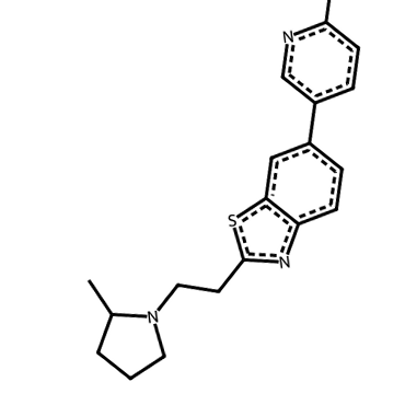 CC1CCCN1CCc1nc2ccc(-c3ccc(F)nc3)cc2s1